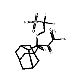 C=C(C)C(=O)CC12CC3CC(C1)C(C(=O)OCC(F)(F)S(=O)(=O)O)C(C3)C2